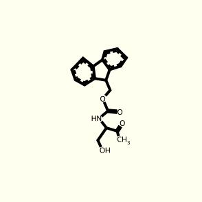 CC(=O)C(CO)NC(=O)OCC1c2ccccc2-c2ccccc21